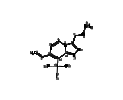 C=Cc1ccn2c(COC)nnc2c1C(F)(F)F